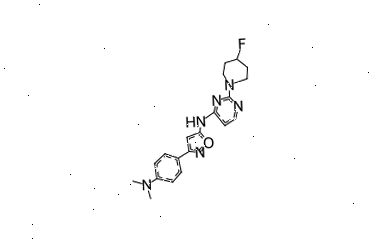 CN(C)c1ccc(-c2cc(Nc3ccnc(N4CCC(F)CC4)n3)on2)cc1